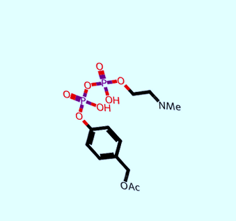 CNCCOP(=O)(O)OP(=O)(O)Oc1ccc(COC(C)=O)cc1